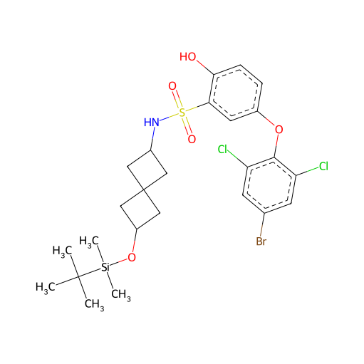 CC(C)(C)[Si](C)(C)OC1CC2(CC(NS(=O)(=O)c3cc(Oc4c(Cl)cc(Br)cc4Cl)ccc3O)C2)C1